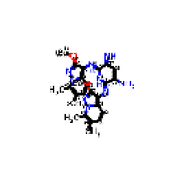 Cc1ccc2c(/N=C3\N/C(=N\c4c(OC(C)(C)C)nn5c(C)c(C)ccc45)C(N)=CC3=N)c(OC(C)(C)C)nn2c1C